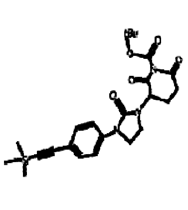 CC(C)(C)OC(=O)N1C(=O)CCC(N2CCN(c3ccc(C#C[Si](C)(C)C)cc3)C2=O)C1=O